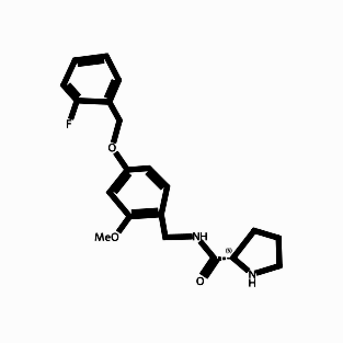 COc1cc(OCc2ccccc2F)ccc1CNC(=O)[C@@H]1CCCN1